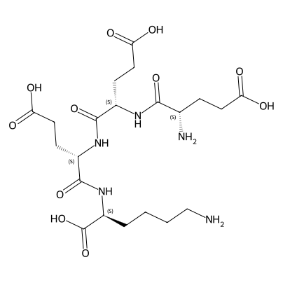 NCCCC[C@H](NC(=O)[C@H](CCC(=O)O)NC(=O)[C@H](CCC(=O)O)NC(=O)[C@@H](N)CCC(=O)O)C(=O)O